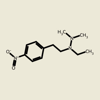 CCN(CCc1ccc([N+](=O)[O-])cc1)N(C)C